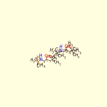 C[SH](C)NCC(O)CC(C)(C)CCC(C)(C)NC[C@H](O)CC(C)(C)C